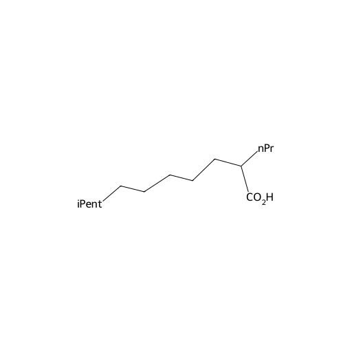 CCCC(C)CCCCCC(CCC)C(=O)O